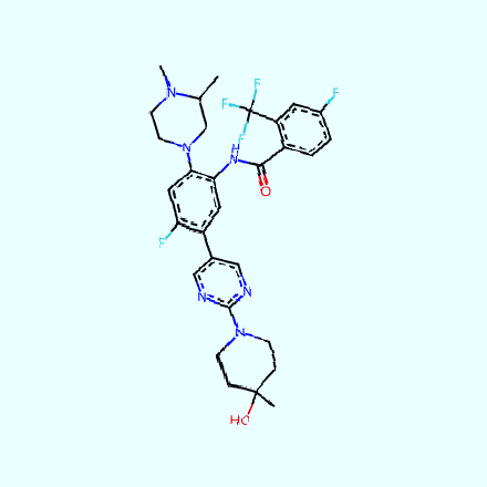 CC1CN(c2cc(F)c(-c3cnc(N4CCC(C)(O)CC4)nc3)cc2NC(=O)c2ccc(F)cc2C(F)(F)F)CCN1C